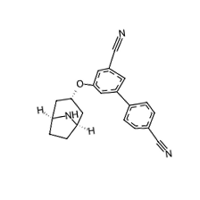 N#Cc1ccc(-c2cc(C#N)cc(O[C@@H]3C[C@H]4CC[C@@H](C3)N4)c2)cc1